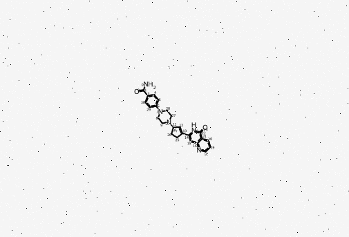 NC(=O)c1ccc(N2CCN([C@H]3C=C(c4cc5ncccc5c(=O)[nH]4)CC3)CC2)cc1